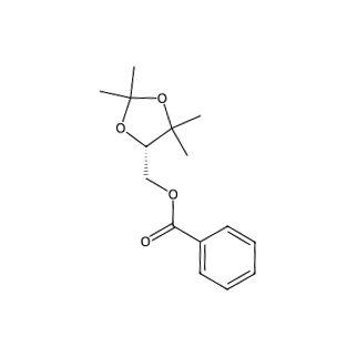 CC1(C)O[C@@H](COC(=O)c2ccccc2)C(C)(C)O1